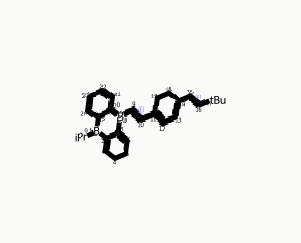 CC(C)B1C2=CCCC=C2B(/C=C/C2=CC=C(/C=C/C(C)(C)C)CC2)C2C=CC=CC12